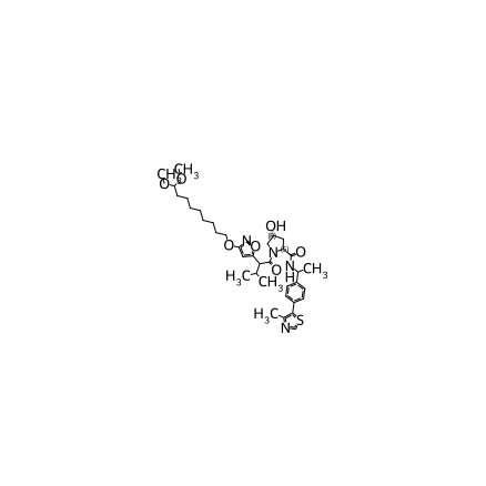 COC(CCCCCCCCOc1cc(C(C(=O)N2C[C@H](O)C[C@H]2C(=O)NC(C)c2ccc(-c3scnc3C)cc2)C(C)C)on1)OC